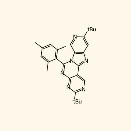 Cc1cc(C)c(-c2nc3nc(C(C)(C)C)ncc3c3nc4cc(C(C)(C)C)ncc4n23)c(C)c1